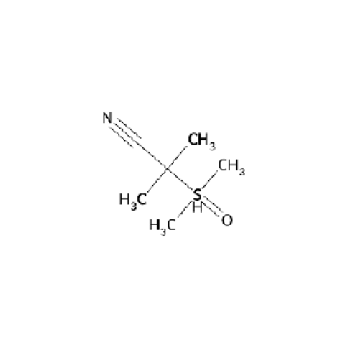 CC(C)(C#N)[SH](C)(C)=O